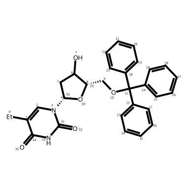 CCc1cn([C@@H]2CC(O)[C@H](COC(c3ccccc3)(c3ccccc3)c3ccccc3)O2)c(=O)[nH]c1=O